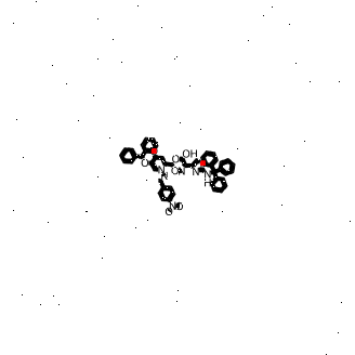 O=C1CC(CO/N=C(\C(=O)O)c2csc(NC(c3ccccc3)(c3ccccc3)c3ccccc3)n2)N(/N=C/c2ccc([N+](=O)[O-])cc2)C=C1OC(c1ccccc1)c1ccccc1